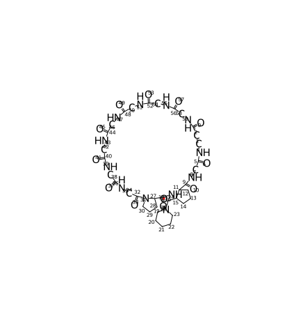 O=C1CCNC(=O)CNC(=O)C2(CCCC2C(=O)N2CCCCC2)NC(=O)C2CCCN2C(=O)CNC(=O)CNC(=O)CNC(=O)CNC(=O)CNC(=O)CNC(=O)CN1